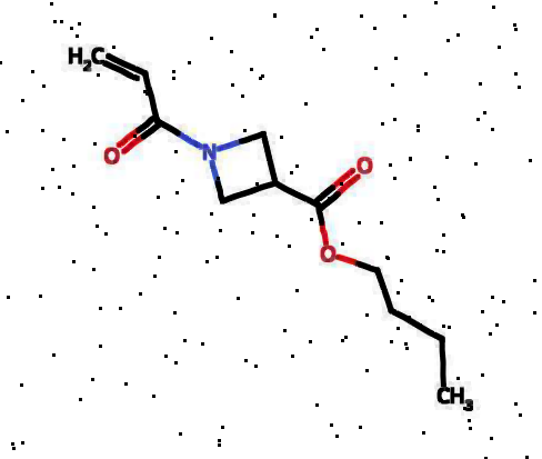 C=CC(=O)N1CC(C(=O)OCCCC)C1